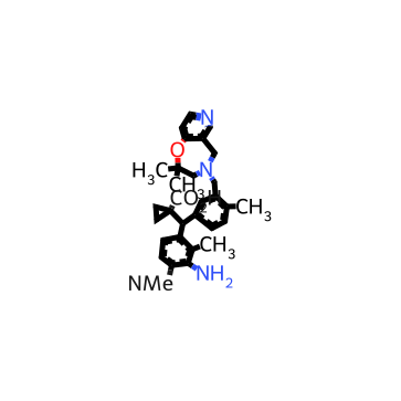 CNc1ccc(C(c2ccc(C)c(CN3Cc4cnccc4OC(C)(C)C3)c2)C2(C(=O)O)CC2)c(C)c1N